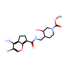 CC(C)(C)OC(=O)N1CCC(CNC(=O)C2=C3OC=C(Cl)C(N)=C3CC2)C(O)C1